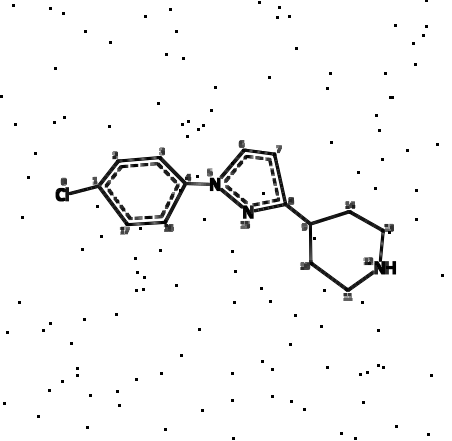 Clc1ccc(-n2ccc(C3CCNCC3)n2)cc1